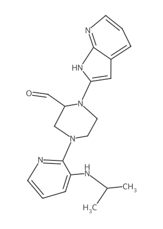 CC(C)Nc1cccnc1N1CCN(c2cc3cccnc3[nH]2)C(C=O)C1